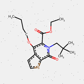 CCCCOc1c(C(=O)OCC)n(CC(C)(C)C)c(=O)c2sccc12